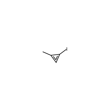 CC1=C=C1I